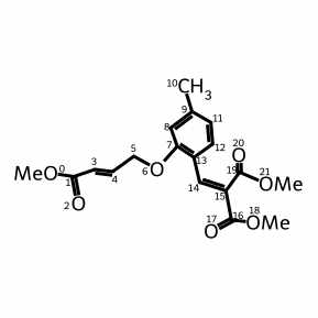 COC(=O)/C=C/COc1cc(C)ccc1C=C(C(=O)OC)C(=O)OC